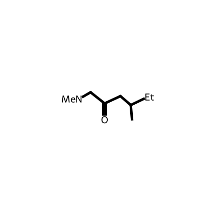 [CH2-][NH2+]CC(=O)CC(C)CC